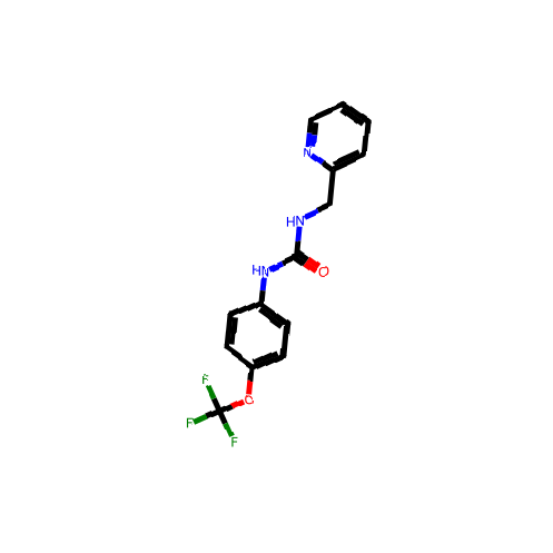 O=C(NCc1ccccn1)Nc1ccc(OC(F)(F)F)cc1